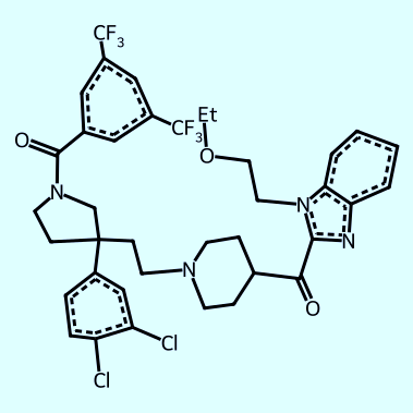 CCOCCn1c(C(=O)C2CCN(CCC3(c4ccc(Cl)c(Cl)c4)CCN(C(=O)c4cc(C(F)(F)F)cc(C(F)(F)F)c4)C3)CC2)nc2ccccc21